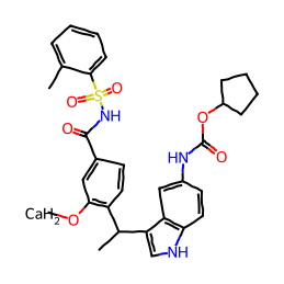 COc1cc(C(=O)NS(=O)(=O)c2ccccc2C)ccc1C(C)c1c[nH]c2ccc(NC(=O)OC3CCCC3)cc12.[CaH2]